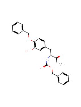 COC(=O)C(Cc1ccc(OCc2ccccc2)c(O)c1)NC(=O)OCc1ccccc1